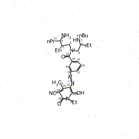 CCCCNC(CC)CN(CC(CC)C(N)CCC)C(=O)c1cccc(/N=N/c2c(C)c(C#N)c(=O)n(CC)c2O)c1